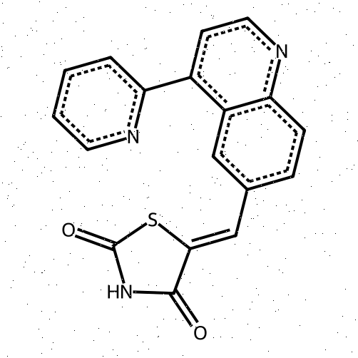 O=C1NC(=O)C(=Cc2ccc3nccc(-c4ccccn4)c3c2)S1